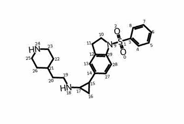 O=S(=O)(c1ccccc1)N1CCc2cc(C3CC3NCCC3CCNCC3)ccc21